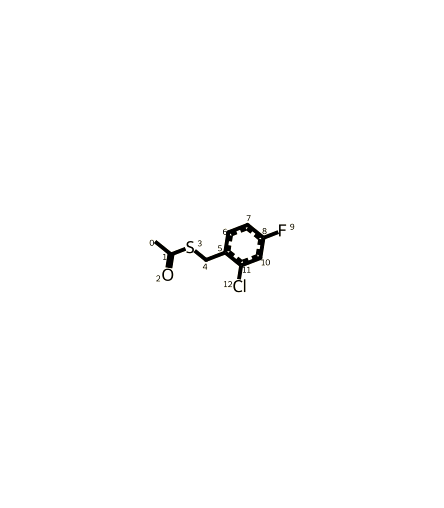 CC(=O)SCc1ccc(F)cc1Cl